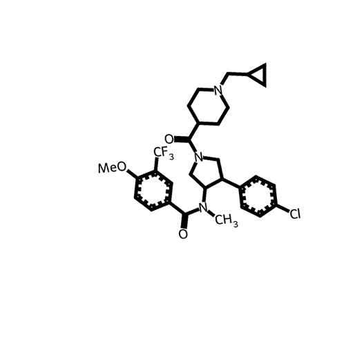 COc1ccc(C(=O)N(C)C2CN(C(=O)C3CCN(CC4CC4)CC3)CC2c2ccc(Cl)cc2)cc1C(F)(F)F